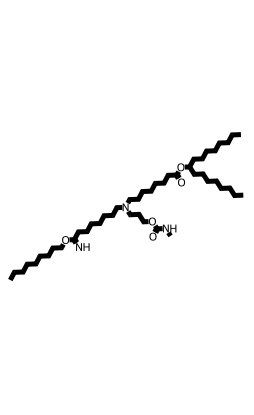 CCCCCCCCCOC(=N)CCCCCCCN(CCCCCCCC(=O)OC(CCCCCCCC)CCCCCCCC)CCCOC(=O)NC